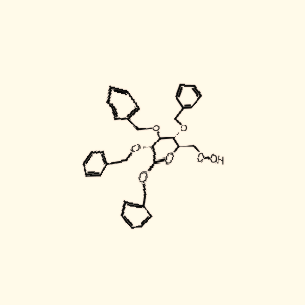 OOC[C@H]1OC(OCc2ccccc2)[C@H](OCc2ccccc2)[C@@H](OCc2ccccc2)[C@@H]1OCc1ccccc1